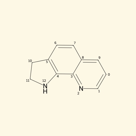 c1cnc2c3c(ccc2c1)CCN3